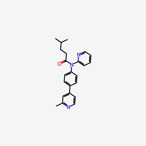 Cc1cc(-c2ccc(N(C(=O)CCC(C)C)c3ccccn3)cc2)ccn1